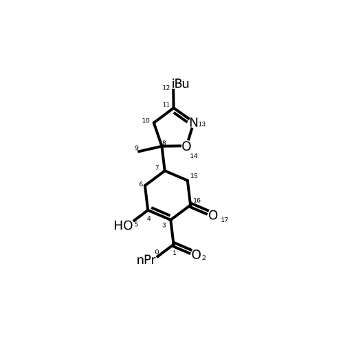 CCCC(=O)C1=C(O)CC(C2(C)CC(C(C)CC)=NO2)CC1=O